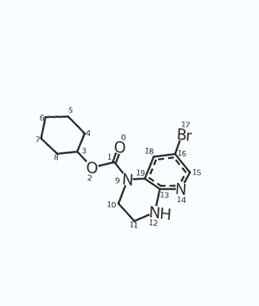 O=C(OC1CCCCC1)N1CCNc2ncc(Br)cc21